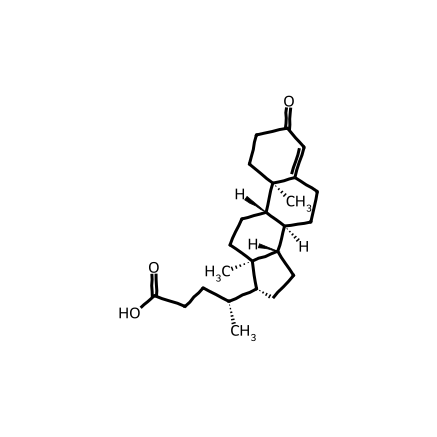 C[C@H](CCC(=O)O)[C@H]1CC[C@H]2[C@@H]3CCC4=CC(=O)CC[C@]4(C)[C@H]3CC[C@]12C